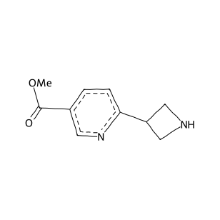 COC(=O)c1ccc(C2CNC2)nc1